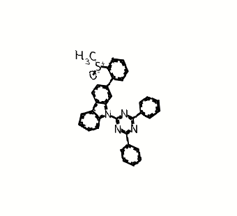 C[S+]([O-])c1ccccc1-c1ccc2c3ccccc3n(-c3nc(-c4ccccc4)nc(-c4ccccc4)n3)c2c1